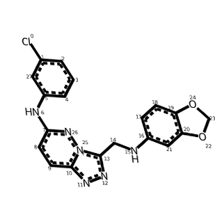 Clc1cccc(Nc2ccc3nnc(CNc4ccc5c(c4)OCO5)n3n2)c1